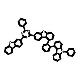 c1ccc(-c2nc(-c3ccc4c(c3)oc3ccccc34)nc(-c3ccc4c(c3)sc3cccc(-c5ccccc5-c5cccc6c5c5ccccc5n6-c5ccccc5)c34)n2)cc1